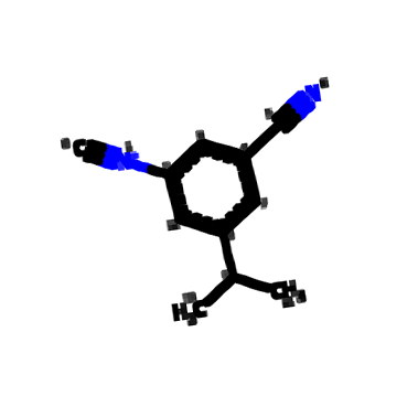 [C-]#[N+]c1cc(C#N)cc(C(C)C)c1